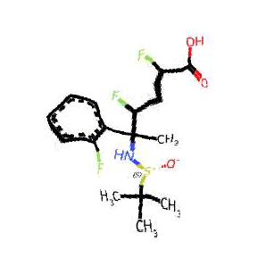 CC(N[S@+]([O-])C(C)(C)C)(c1ccccc1F)C(F)CC(F)C(=O)O